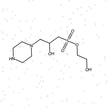 O=S(=O)(CC(O)CN1CCNCC1)OCCO